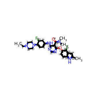 CCN1CCN(C2=CC=C(Nc3ncnc(Oc4ccc5[nH]c(C)cc5c4F)c3C(=O)N(C)C)CC2F)CC1